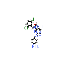 NC1CCC(CNc2ncc3[nH]c(=O)n(Cc4cc(Cl)ccc4Cl)c3n2)CC1